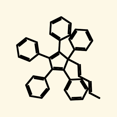 CC=CC=CC1(c2ccccc2)C(c2ccccc2)=C(c2ccccc2)C(c2ccccc2)=C1c1ccccc1